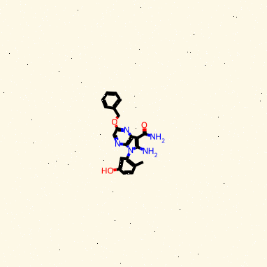 Cc1ccc(O)cc1-n1c(N)c(C(N)=O)c2nc(OCc3ccccc3)cnc21